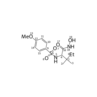 CCC(C)(C)C(NS(=O)(=O)c1ccc(OC)cc1)C(=O)NO